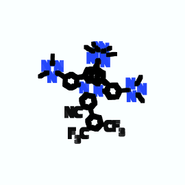 Cc1nc(C)nc(-c2ccc3c(c2)c2cc(-c4nc(C)nc(C)n4)ccc2n3-c2cc(C#N)c(-c3cc(C(F)(F)F)cc(C(F)(F)F)c3)cc2-n2c3ccc(-c4nc(C)nc(C)n4)cc3c3cc(-c4nc(C)nc(C)n4)ccc32)n1